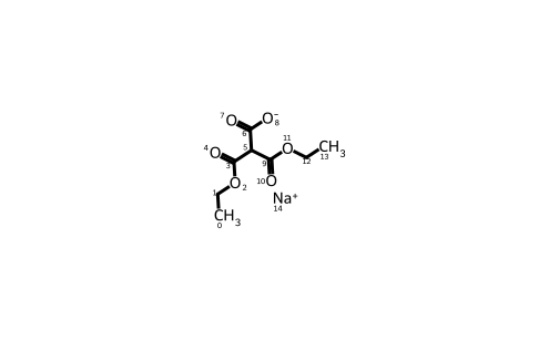 CCOC(=O)C(C(=O)[O-])C(=O)OCC.[Na+]